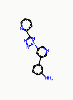 Nc1cccc(-c2cncc(-n3nnc(-c4ccccn4)n3)c2)c1